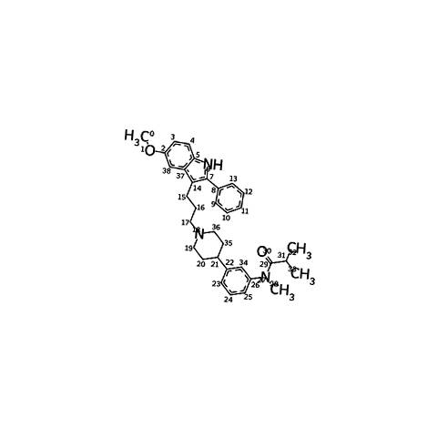 COc1ccc2[nH]c(-c3ccccc3)c(CCCN3CCC(c4cccc(N(C)C(=O)C(C)C)c4)CC3)c2c1